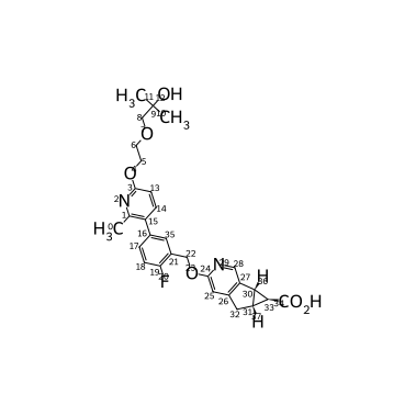 Cc1nc(OCCOCC(C)(C)O)ccc1-c1ccc(F)c(COc2cc3c(cn2)[C@H]2[C@@H](C3)[C@@H]2C(=O)O)c1